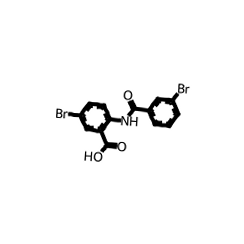 O=C(Nc1ccc(Br)cc1C(=O)O)c1cccc(Br)c1